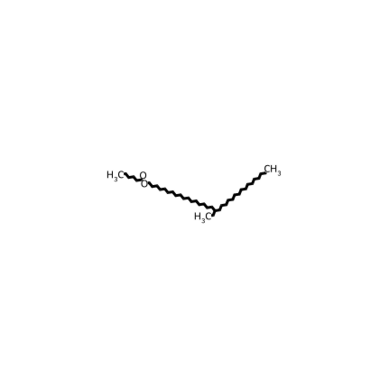 CCCCCCCCCCCCCCCCC(CC)CCCCCCCCCCCCCCCCCOC(=O)CCCCC